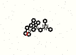 C1=CC2c3ccccc3C3(c4ccccc4-c4c3c3cc(N(c5ccccc5)c5ccccc5-c5ccccc5)ccc3n4-c3cccc(-c4nc(-c5ccccc5)nc(-c5ccccc5)n4)c3)C2C=C1